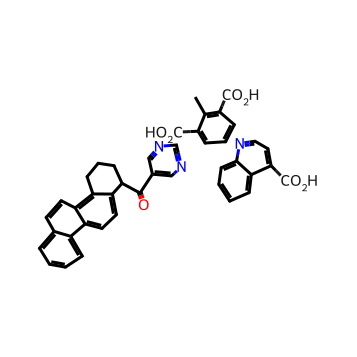 Cc1c(C(=O)O)cccc1C(=O)O.O=C(O)c1ccnc2ccccc12.O=C(c1cncnc1)C1CCCc2c1ccc1c2ccc2ccccc21